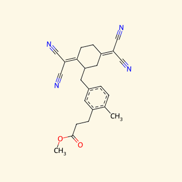 COC(=O)CCc1cc(CC2CC(=C(C#N)C#N)CCC2=C(C#N)C#N)ccc1C